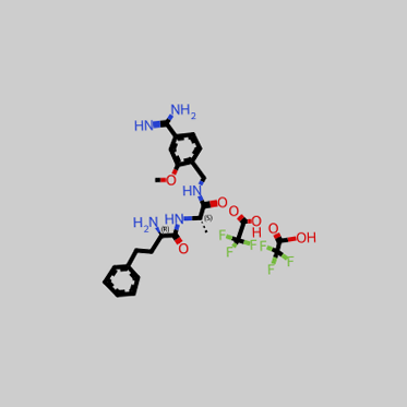 COc1cc(C(=N)N)ccc1CNC(=O)[C@H](C)NC(=O)[C@H](N)CCc1ccccc1.O=C(O)C(F)(F)F.O=C(O)C(F)(F)F